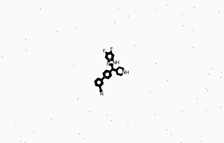 N#Cc1cccc(-c2ccc(C(=C3CCNCC3)c3nc4cc(F)c(F)cc4[nH]3)cc2)c1